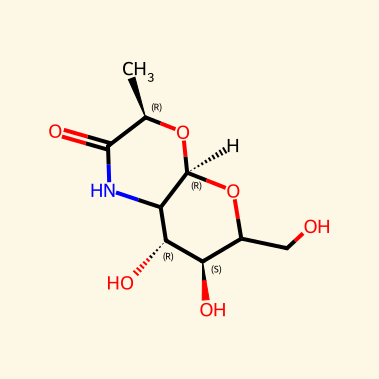 C[C@H]1O[C@H]2OC(CO)[C@@H](O)[C@H](O)C2NC1=O